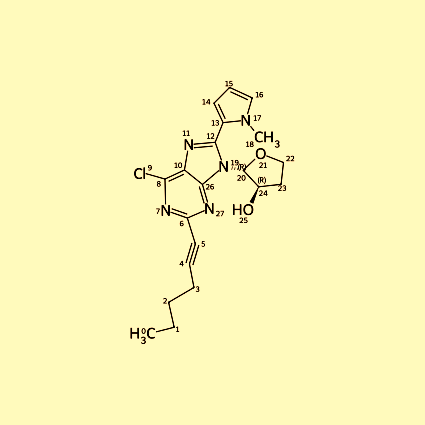 CCCCC#Cc1nc(Cl)c2nc(-c3cccn3C)n([C@@H]3OCC[C@H]3O)c2n1